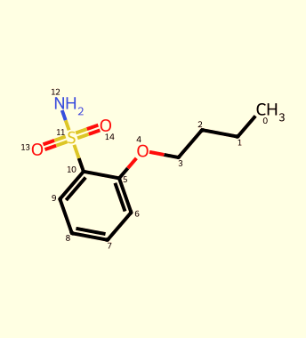 CCCCOc1ccccc1S(N)(=O)=O